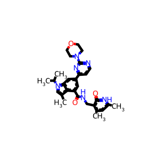 Cc1cc(C)c(CNC(=O)c2cc(-c3ccnc(N4CCOCC4)n3)cc3c2c(C)cn3C(C)C)c(=O)[nH]1